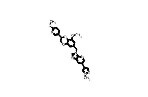 COc1ccc(C2COc3cc(Cn4cnc5cc(-c6cnn(C)c6)cnc54)cc(OC)c3O2)cn1